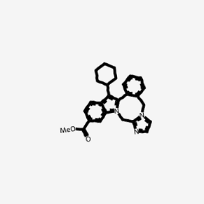 COC(=O)c1ccc2c(C3CCCCC3)c3n(c2c1)Cc1nccn1Cc1ccccc1-3